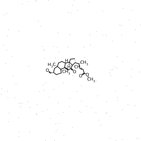 COC(=O)CC[C@@H](C)[C@H]1CC[C@H]2[C@@H]3CC[C@]4(C)C[C@H](C=O)CC[C@]4(C)C3=CC(=O)[C@]12C